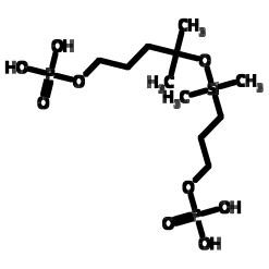 CC(C)(CCCOP(=O)(O)O)O[Si](C)(C)CCCOP(=O)(O)O